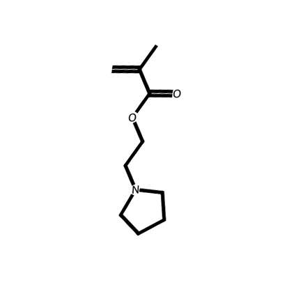 C=C(C)C(=O)OCCN1CCCC1